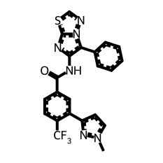 Cn1ccc(-c2cc(C(=O)Nc3nc4scnn4c3-c3ccccc3)ccc2C(F)(F)F)n1